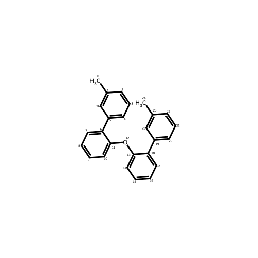 Cc1cccc(-c2ccccc2Oc2ccccc2-c2cccc(C)c2)c1